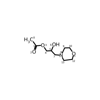 CC(=O)OCC(O)CN1CCOCC1